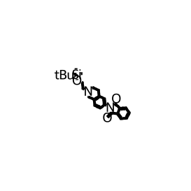 CC(C)(C)[Si](C)(C)OCCN1CCc2cc(N3C(=O)c4ccccc4C3=O)ccc2C1